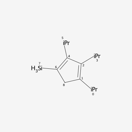 CC(C)C1=C(C(C)C)C(C(C)C)=C([SiH3])C1